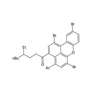 CCCCC(CC)CCC(=O)c1cc(Br)c2c3c(c(Br)cc(C(C)=O)c13)Oc1ccc(Br)cc1-2